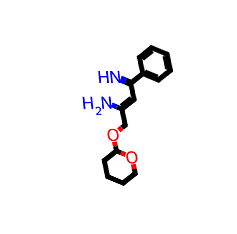 N=C(/C=C(\N)COC1CCCCO1)c1ccccc1